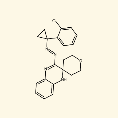 Clc1ccccc1C1(N=NC2=Nc3ccccc3NC23CCOCC3)CC1